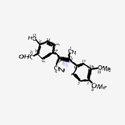 COc1ccc(/C(C#N)=C(\C#N)c2ccc(O)c(C=O)c2)cc1OC